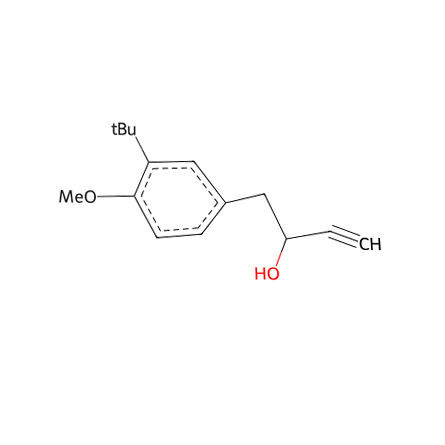 C#CC(O)Cc1ccc(OC)c(C(C)(C)C)c1